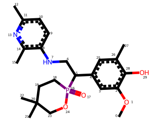 COc1cc(C(CNc2ccc(C)nc2C)P2(=O)CCC(C)(C)CO2)cc(C)c1O